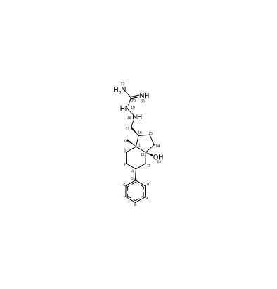 C[C@]12CC[C@H](c3ccccc3)C[C@@]1(O)CC[C@@H]2CNNC(=N)N